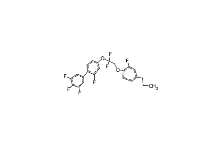 CCCc1ccc(OCC(F)(F)Oc2ccc(-c3cc(F)c(F)c(F)c3)c(F)c2)c(F)c1